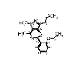 CCCc1nn(C)c2c(C)nc(-c3ccccc3OCC)nc12